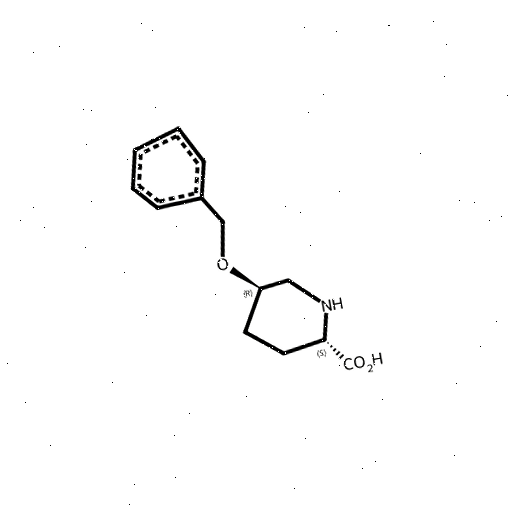 O=C(O)[C@@H]1CC[C@@H](OCc2ccccc2)CN1